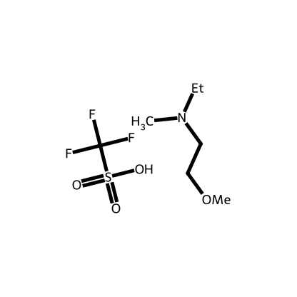 CCN(C)CCOC.O=S(=O)(O)C(F)(F)F